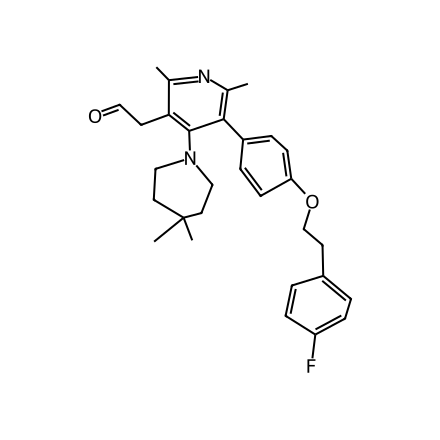 Cc1nc(C)c(-c2ccc(OCCc3ccc(F)cc3)cc2)c(N2CCC(C)(C)CC2)c1CC=O